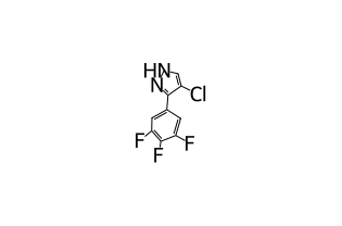 Fc1cc(-c2n[nH]cc2Cl)cc(F)c1F